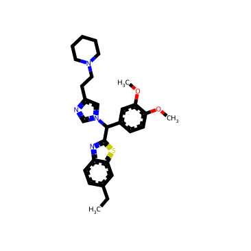 CCc1ccc2nc(C(c3ccc(OC)c(OC)c3)n3cnc(CCN4CCCCC4)c3)sc2c1